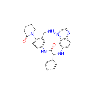 NCc1cc(NC(=O)C(Nc2ccc3nccnc3c2)c2ccccc2)ccc1N1CCCCC1=O